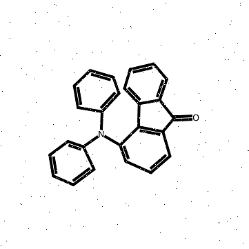 O=C1c2ccccc2-c2c1cccc2N(c1ccccc1)c1ccccc1